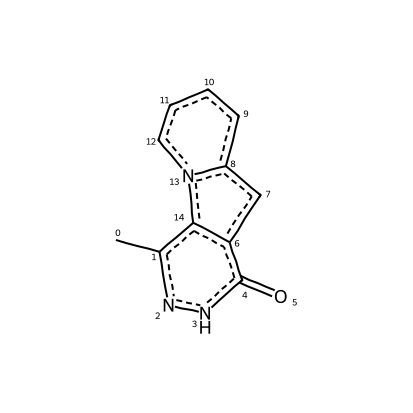 Cc1n[nH]c(=O)c2cc3ccccn3c12